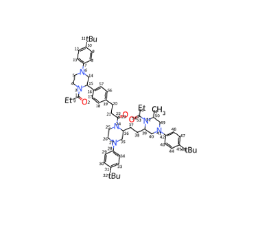 CCC(=O)N1CCN(c2ccc(C(C)(C)C)cc2)CC1c1ccc(CCC(=O)N2CCN(c3ccc(C(C)(C)C)cc3)CC2CCC2CN(c3ccc(C(C)(C)C)cc3)CC(C)N2C(=O)CC)cc1